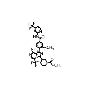 CCC(=O)N1CCCC(c2nc(-c3ccc(C(=O)Nc4cc(C(F)(F)F)ccn4)cc3OC)c3c(N)ncc(C(F)(F)F)n23)C1